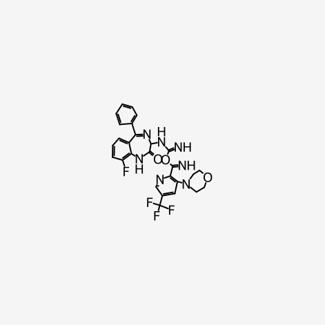 N=C(NC1N=C(c2ccccc2)c2cccc(F)c2NC1=O)OC(=N)c1ncc(C(F)(F)F)cc1N1CCOCC1